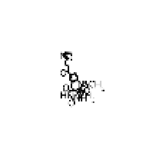 C[C@@H]1CN2c3ccc(C(=O)CCc4ncco4)cc3CC3(C(=O)NC(=O)NC3=O)[C@H]2[C@H](C)O1